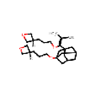 CCC1(CCCOC(=C(C)C(=O)O)C23CC4CC(CC(OCCCC5(CC)COC5)(C4)C2)C3)COC1